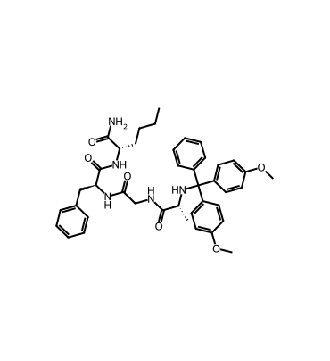 CCCC[C@H](NC(=O)[C@H](Cc1ccccc1)NC(=O)CNC(=O)[C@@H](C)NC(c1ccccc1)(c1ccc(OC)cc1)c1ccc(OC)cc1)C(N)=O